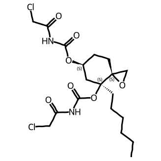 CCCCCC[C@]1(OC(=O)NC(=O)CCl)C[C@@H](OC(=O)NC(=O)CCl)CC[C@]12CO2